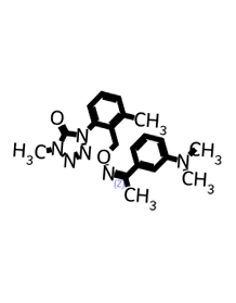 C/C(=N/OCc1c(C)cccc1-n1nnn(C)c1=O)c1cccc(N(C)C)c1